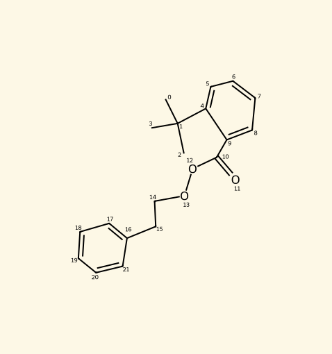 CC(C)(C)c1ccccc1C(=O)OOCCc1ccccc1